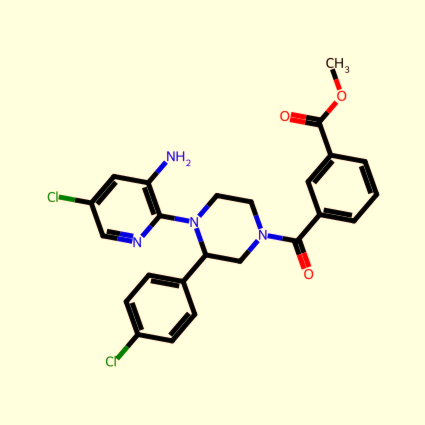 COC(=O)c1cccc(C(=O)N2CCN(c3ncc(Cl)cc3N)C(c3ccc(Cl)cc3)C2)c1